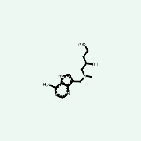 CSCCC(O)CN(C)Cc1c[nH]c2c(N)ncnc12